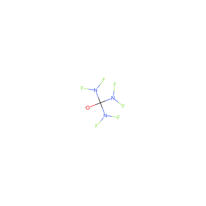 [O]C(N(F)F)(N(F)F)N(F)F